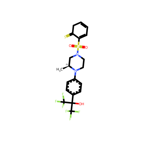 C[C@H]1CN(S(=O)(=O)C2=CC=CCC2=S)CCN1c1ccc(C(O)(C(F)(F)F)C(F)(F)F)cc1